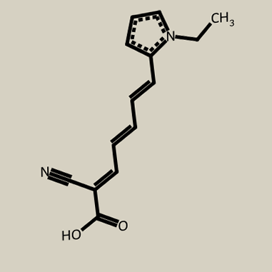 CCn1cccc1/C=C/C=C/C=C(\C#N)C(=O)O